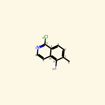 Cc1ccc2c(Cl)nccc2c1I